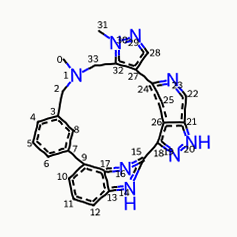 CN1Cc2cccc(c2)-c2cccc3[nH]c(nc23)-c2n[nH]c3cnc(cc23)-c2cnn(C)c2C1